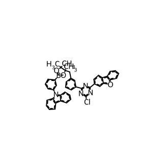 CC1(C)OB(c2cccc(-n3c4ccccc4c4ccccc43)c2)OC1(C)Cc1cccc(-c2nc(Cl)nc(-c3ccc4c(c3)oc3ccccc34)n2)c1